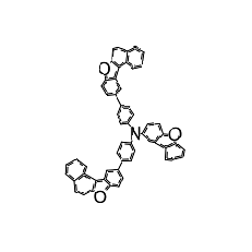 c1ccc2c(c1)ccc1oc3ccc(-c4ccc(N(c5ccc(-c6ccc7oc8ccc9ccccc9c8c7c6)cc5)c5ccc6oc7ccccc7c6c5)cc4)cc3c12